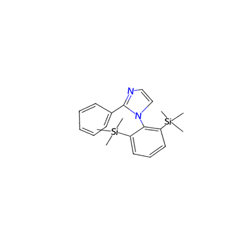 C[Si](C)(C)c1cccc([Si](C)(C)C)c1-n1ccnc1-c1ccccc1